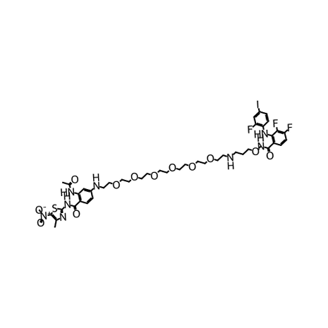 CC(=O)Nc1cc(NCCOCCOCCOCCOCCOCCOCCNCCCONC(=O)c2ccc(F)c(F)c2Nc2ccc(I)cc2F)ccc1C(=O)Nc1nc(C)c([N+](=O)[O-])s1